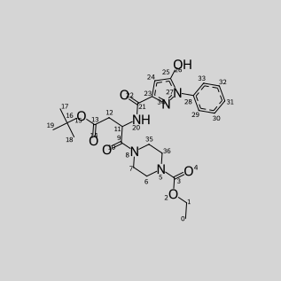 CCOC(=O)N1CCN(C(=O)C(CC(=O)OC(C)(C)C)NC(=O)c2cc(O)n(-c3ccccc3)n2)CC1